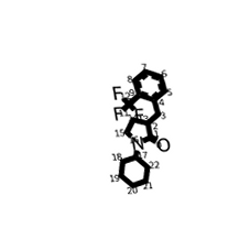 O=C1C(Cc2ccccc2C(F)(F)F)CCN1C1CCCCC1